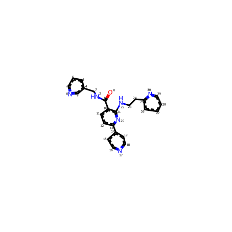 O=C(NCc1cccnc1)c1ccc(-c2ccncc2)nc1NCCc1ccccn1